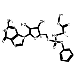 CC(C)OC(=O)[C@H](C)NP(=O)(OC[C@H]1OC(n2cnc3c(=S)[nH]c(N)nc32)C(O)C1O)Oc1ccccc1